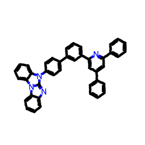 c1ccc(-c2cc(-c3ccccc3)nc(-c3cccc(-c4ccc(-n5c6ccccc6n6c7ccccc7nc56)cc4)c3)c2)cc1